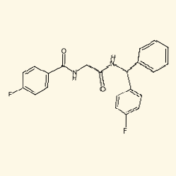 O=C(CNC(=O)c1ccc(F)cc1)NC(c1ccccc1)c1ccc(F)cc1